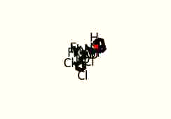 NC(=O)[C@]12CC3CC(C1)[C@@H](NC(=O)CN1CC(F)(F)CN(c4c(Cl)cc(Cl)cc4Cl)S1(=O)=O)C(C3)C2